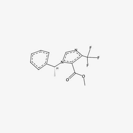 COC(=O)c1c(C(F)(F)F)ncn1[C@H](C)c1ccccc1